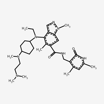 CCN(c1c(C)c(C(=O)NCc2c(C)cc(C)[nH]c2=O)cc2c1cnn2C)C1CCC(N(C)CCN(C)C)CC1